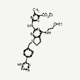 CCOCCNc1nc(Nc2nc(C)c(C(=O)OCC)s2)nc2c1CCN2Cc1ccc(-c2nnn[nH]2)cc1